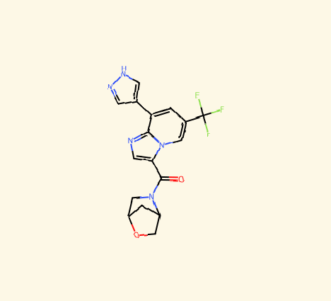 O=C(c1cnc2c(-c3cn[nH]c3)cc(C(F)(F)F)cn12)N1CC2CC1CO2